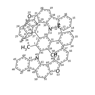 Cc1c(-c2ccccc2F)c(-n2c3ccccc3c3ccc4oc5ccccc5c4c32)c(-c2ccccc2F)c(C)c1-n1c2ccccc2c2ccc3oc4ccccc4c3c21